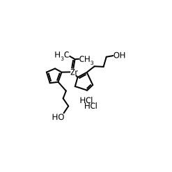 C[C](C)=[Zr]([C]1=C(CCCO)C=CC1)[C]1=C(CCCO)C=CC1.Cl.Cl